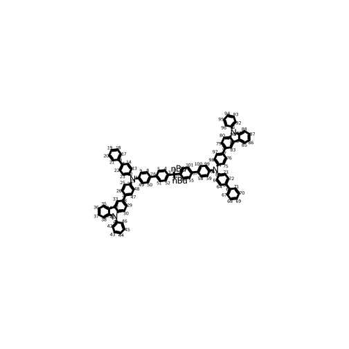 CCCCC(CCCC)(c1ccc(-c2ccc(N(c3ccc(-c4ccccc4)cc3)c3ccc(-c4ccc5c(c4)c4ccccc4n5-c4ccccc4)cc3)cc2)cc1)c1ccc(-c2ccc(N(c3ccc(-c4ccccc4)cc3)c3ccc(-c4ccc5c(c4)c4ccccc4n5-c4ccccc4)cc3)cc2)cc1